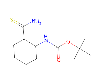 CC(C)(C)OC(=O)NC1CCCCC1C(N)=S